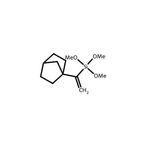 C=C(C12CCC(CC1)C2)[Si](OC)(OC)OC